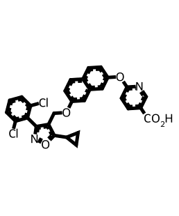 O=C(O)c1ccc(Oc2ccc3ccc(OCc4c(-c5c(Cl)cccc5Cl)noc4C4CC4)cc3c2)nc1